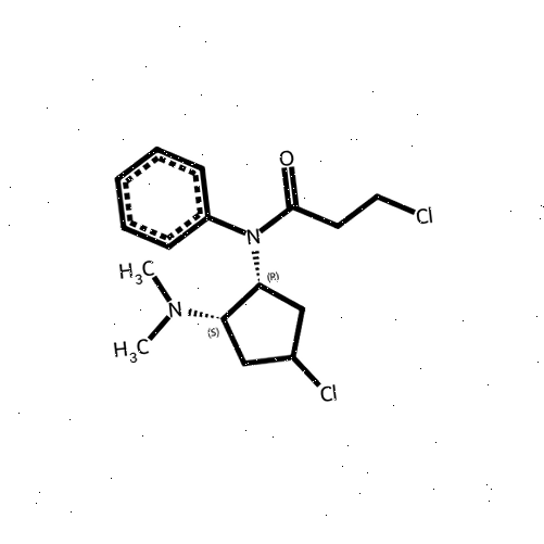 CN(C)[C@H]1CC(Cl)C[C@H]1N(C(=O)CCCl)c1ccccc1